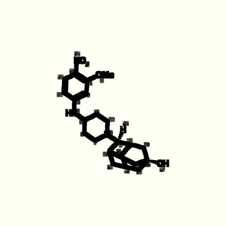 COc1cc(NC2CCN([C@H]3C4CC5CC3C[C@](O)(C5)C4)CC2)ccc1[N+](=O)[O-]